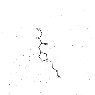 CCNC(=O)CN1CC[C@@H](CCOC)C1